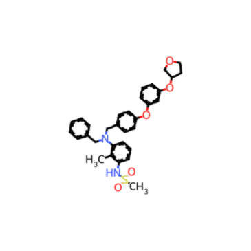 Cc1c(NS(C)(=O)=O)cccc1N(Cc1ccccc1)Cc1ccc(Oc2cccc(OC3CCOC3)c2)cc1